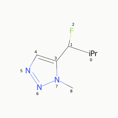 CC(C)C(F)c1cnnn1C